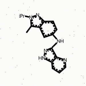 Cc1c2cc(Nc3n[nH]c4cccnc34)ccc2nn1C(C)C